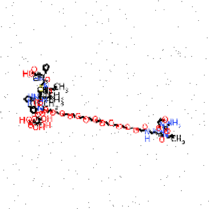 CCCNC(=O)[C@H](CCCCNC(=O)CCOCCOCCOCCOCCOCCOCCOCCOCCOCCOCCOCCOC(=O)Nc1cc(C[N+]2(C)CCCC[C@@H]2C(=O)N[C@H](C(=O)N(C)[C@H](C[C@@H](OCCC)c2nc(C(=O)N[C@@H](Cc3ccccc3)C[C@H](C)C(=O)O)cs2)C(C)C)[C@@H](C)CC)ccc1O[C@@H]1O[C@H](C(=O)O)[C@@H](O)[C@H](O)[C@H]1O)NC(=O)[C@H](CN)N1C(=O)C=CC1=O